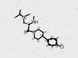 CN[C@H](CN(C)C(C)C)C(=O)N1CCC(c2ccc(Cl)cc2)CC1